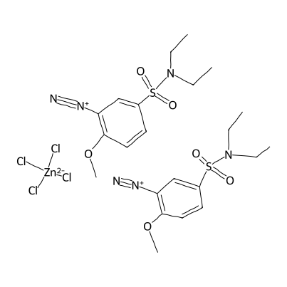 CCN(CC)S(=O)(=O)c1ccc(OC)c([N+]#N)c1.CCN(CC)S(=O)(=O)c1ccc(OC)c([N+]#N)c1.[Cl][Zn-2]([Cl])([Cl])[Cl]